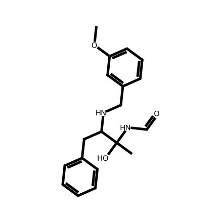 COc1cccc(CNC(Cc2ccccc2)C(C)(O)NC=O)c1